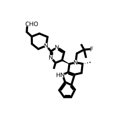 CC1N=C(N2CCC(CC=O)CC2)N=CC1[C@@H]1c2[nH]c3ccccc3c2C[C@@H](C)N1CC(C)(C)F